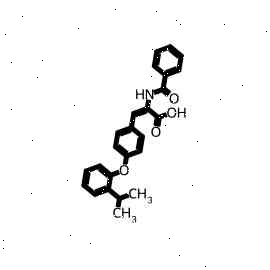 CC(C)c1ccccc1Oc1ccc(/C=C(/NC(=O)c2ccccc2)C(=O)O)cc1